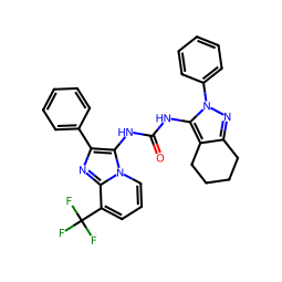 O=C(Nc1c2c(nn1-c1ccccc1)CCCC2)Nc1c(-c2ccccc2)nc2c(C(F)(F)F)cccn12